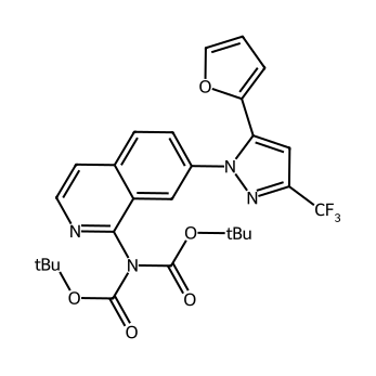 CC(C)(C)OC(=O)N(C(=O)OC(C)(C)C)c1nccc2ccc(-n3nc(C(F)(F)F)cc3-c3ccco3)cc12